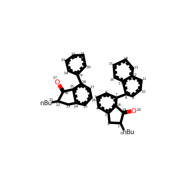 CCCCC1Cc2cccc(-c3cccc4ccccc34)c2C1=O.CCCCC1Cc2cccc(-c3ccccc3)c2C1=O